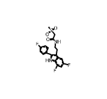 CS(=O)(=O)CC(=O)NCCc1c(-c2ccc(F)cc2)[nH]c2c(F)cc(F)cc12